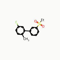 CCS(=O)(=O)c1cccc(-c2cc(F)ccc2C)c1